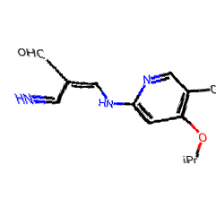 CC(C)Oc1cc(N/C=C(\C=N)C=O)ncc1C#N